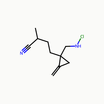 C=C1CC1(CCC(C)C#N)CNCl